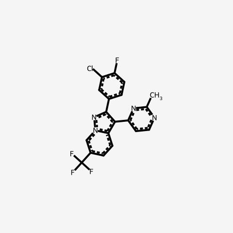 Cc1nccc(-c2c(-c3ccc(F)c(Cl)c3)nn3cc(C(F)(F)F)ccc23)n1